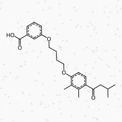 Cc1c(OCCCCOc2cccc(C(=O)O)c2)ccc(C(=O)CC(C)C)c1C